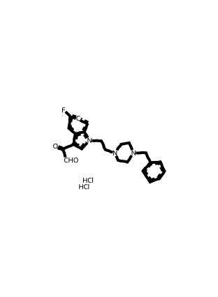 Cl.Cl.O=CC(=O)c1cn(CCN2CCN(Cc3ccccc3)CC2)c2ccc(F)cc12